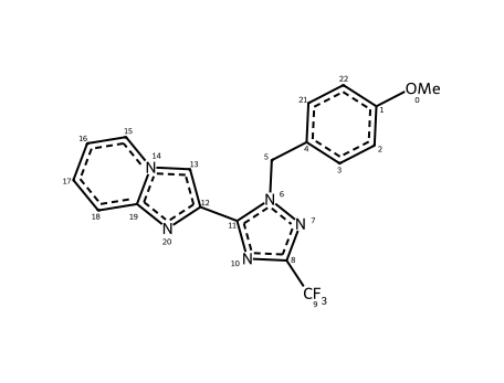 COc1ccc(Cn2nc(C(F)(F)F)nc2-c2cn3ccccc3n2)cc1